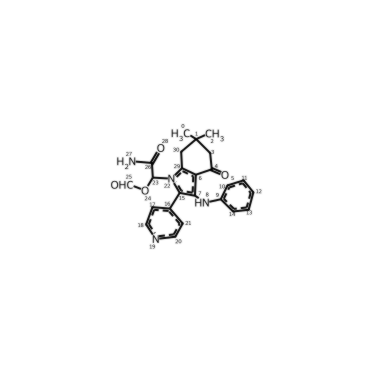 CC1(C)CC(=O)c2c(Nc3ccccc3)c(-c3ccncc3)n(C(OC=O)C(N)=O)c2C1